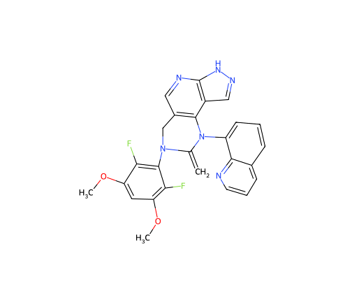 C=C1N(c2c(F)c(OC)cc(OC)c2F)Cc2cnc3[nH]ncc3c2N1c1cccc2cccnc12